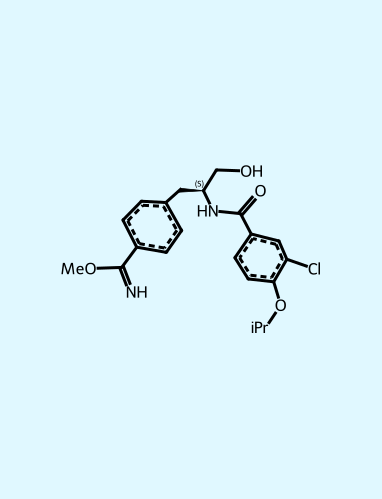 COC(=N)c1ccc(C[C@@H](CO)NC(=O)c2ccc(OC(C)C)c(Cl)c2)cc1